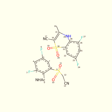 CC(=O)Nc1c(F)cc(F)cc1S(=O)(=O)CC#N.CC1=C(C#N)S(=O)(=O)c2cc(F)cc(F)c2N1